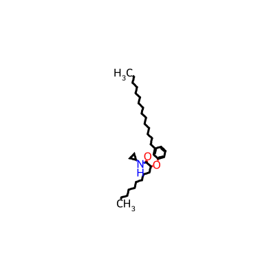 CCCCCCCCCCCCCCCc1cccc(OC(CCCCCCCCC)C(=O)NC2CC2)c1